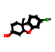 CC12C=CC(O)=CC1Oc1cc(Cl)ccc12